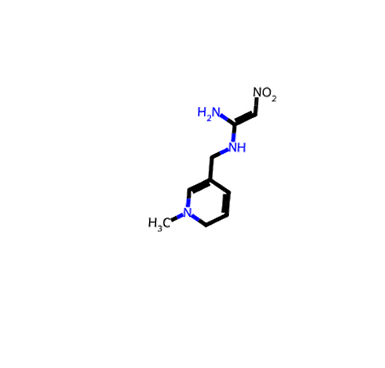 CN1C=C(CNC(N)=C[N+](=O)[O-])C=CC1